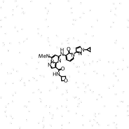 CNc1cc(Nc2cccn(-c3ccn(C4CC4)n3)c2=O)nc2c(C(=O)NC3COC3)cnn12